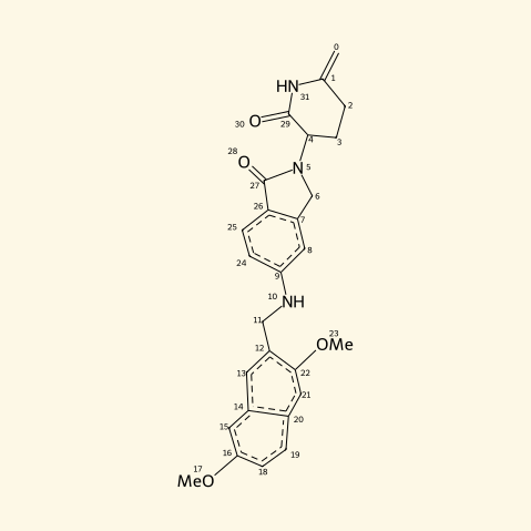 C=C1CCC(N2Cc3cc(NCc4cc5cc(OC)ccc5cc4OC)ccc3C2=O)C(=O)N1